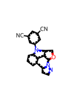 N#Cc1cc(C#N)cc(-n2c3cccc4c3c3c2coc3n2nccc42)c1